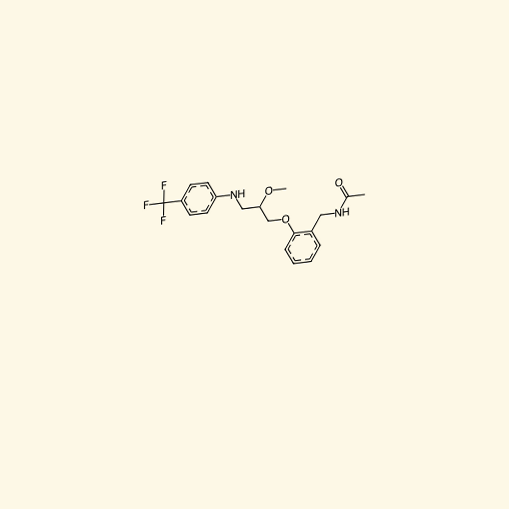 COC(CNc1ccc(C(F)(F)F)cc1)COc1ccccc1CNC(C)=O